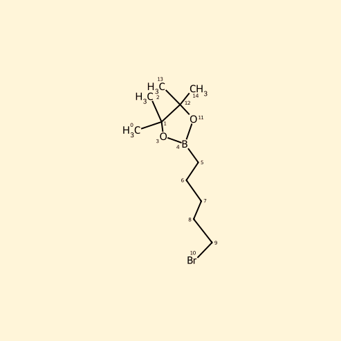 CC1(C)OB(CCCCCBr)OC1(C)C